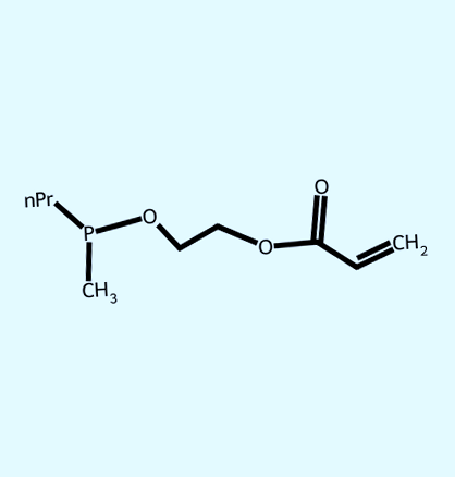 C=CC(=O)OCCOP(C)CCC